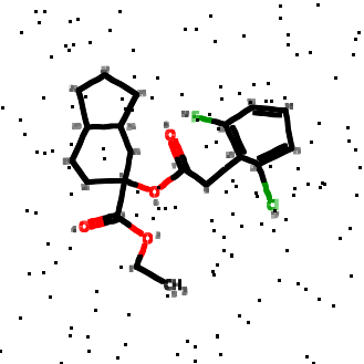 CCOC(=O)C1(OC(=O)Cc2c(F)cccc2Cl)CCC2CCCC2C1